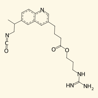 CC(CN=C=O)c1ccc2ncc(CCCC(=O)OCCCNC(=N)N)cc2c1